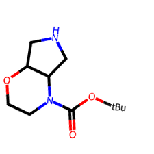 CC(C)(C)OC(=O)N1CCOC2CNCC21